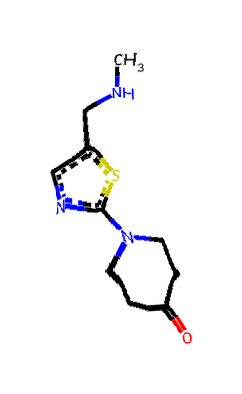 CNCc1cnc(N2CCC(=O)CC2)s1